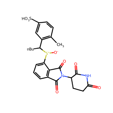 CCCCC(c1cc(S(=O)(=O)O)ccc1C)[S+]([O-])c1cccc2c1C(=O)N(C1CCC(=O)NC1=O)C2=O